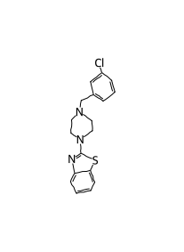 Clc1cccc(CN2CCN(c3nc4ccccc4s3)CC2)c1